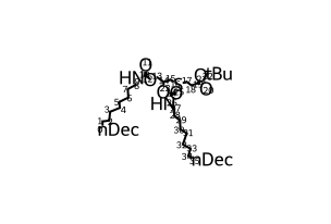 CCCCCCCCCCCCCCCCCCNC(=O)OCC(CSCCC(=O)OC(C)(C)C)OC(=O)NCCCCCCCCCCCCCCCCCC